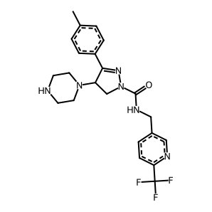 Cc1ccc(C2=NN(C(=O)NCc3ccc(C(F)(F)F)nc3)CC2N2CCNCC2)cc1